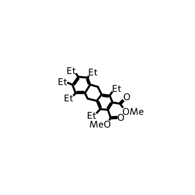 CCc1c(CC)c(CC)c2c(c1CC)Cc1c(c(CC)c(C(=O)OC)c(C(=O)OC)c1CC)C2